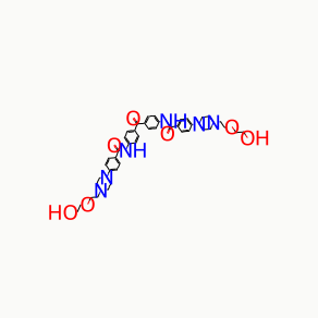 O=C(Nc1ccc(C(=O)c2ccc(NC(=O)c3ccc(N4CCN(CCOCCO)CC4)cc3)cc2)cc1)c1ccc(N2CCN(CCOCCO)CC2)cc1